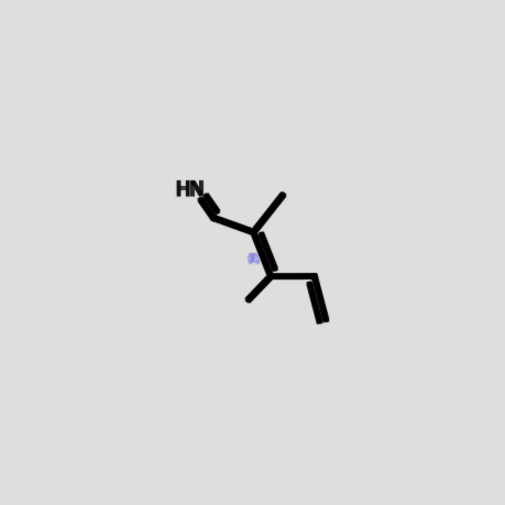 C=C/C(C)=C(\C)C=N